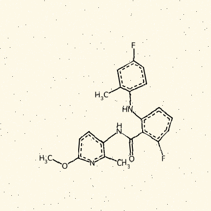 COc1ccc(NC(=O)c2c(F)cccc2Nc2ccc(F)cc2C)c(C)n1